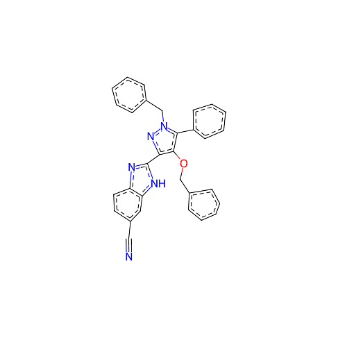 N#Cc1ccc2nc(-c3nn(Cc4ccccc4)c(-c4ccccc4)c3OCc3ccccc3)[nH]c2c1